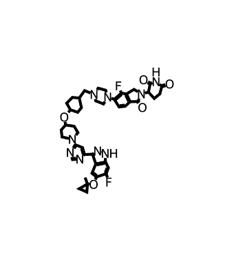 CC1(Oc2cc3c(-c4cc(N5CCC(OC6CCC(CN7CCN(c8ccc9c(c8F)CN(C8CCC(=O)NC8=O)C9=O)CC7)CC6)CC5)ncn4)n[nH]c3cc2F)CC1